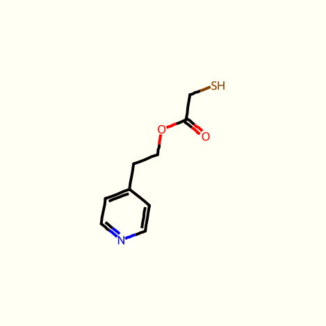 O=C(CS)OCCc1ccncc1